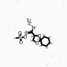 CS(=O)(=O)O/N=C(/N=C=S)C1COC2(CCCCC2)O1